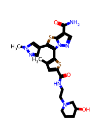 Cc1cc(C(=O)NCCN2CCCC(O)C2)sc1-c1c(-c2cnn(C)c2)sc2c(C(N)=O)cnn12